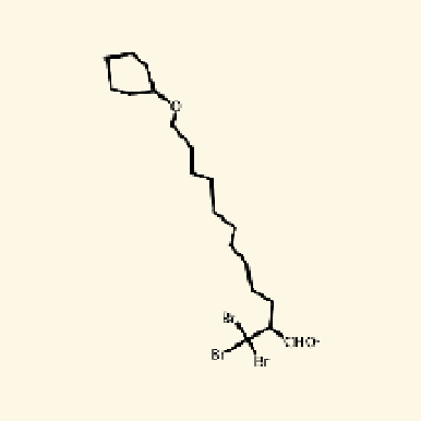 O=[C]C(CCCCCCCCCCOC1CC[CH]CC1)C(Br)(Br)Br